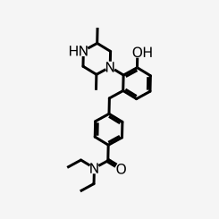 CCN(CC)C(=O)c1ccc(Cc2cccc(O)c2N2CC(C)NCC2C)cc1